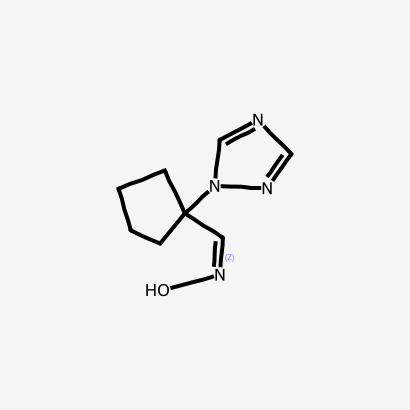 O/N=C\C1(n2cncn2)CCCC1